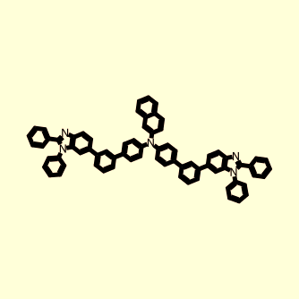 c1ccc(-c2nc3ccc(-c4cccc(-c5ccc(N(c6ccc(-c7cccc(-c8ccc9nc(-c%10ccccc%10)n(-c%10ccccc%10)c9c8)c7)cc6)c6ccc7ccccc7c6)cc5)c4)cc3n2-c2ccccc2)cc1